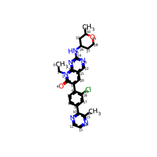 CCn1c(=O)c(-c2ccc(-c3nccnc3C)cc2Cl)cc2cnc(NC3CCOC(C)C3)nc21